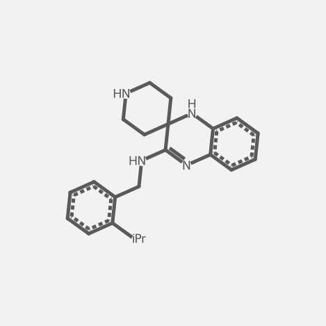 CC(C)c1ccccc1CNC1=Nc2ccccc2NC12CCNCC2